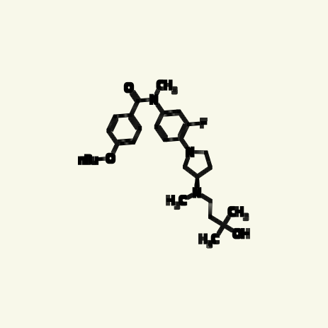 CCCCOc1ccc(C(=O)N(C)c2ccc(N3CC[C@@H](N(C)CCC(C)(C)O)C3)c(F)c2)cc1